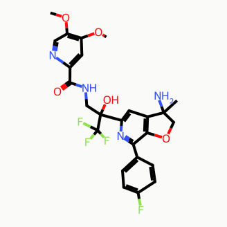 COc1cnc(C(=O)NCC(O)(c2cc3c(c(-c4ccc(F)cc4)n2)OCC3(C)N)C(F)(F)F)cc1OC